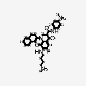 CN(C)CCCCNc1c(F)cc2c(=O)c(C(=O)Nc3ccc(N(C)C)cc3)cn3c2c1Oc1c-3ccc2ccccc12